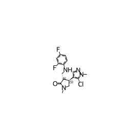 CN1C[C@H](c2cnn(C)c2Cl)[C@@H](CNc2ccc(F)cc2F)C1=O